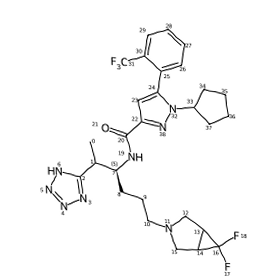 CC(c1nnn[nH]1)[C@H](CCCN1CC2C(C1)C2(F)F)NC(=O)c1cc(-c2ccccc2C(F)(F)F)n(C2CCCC2)n1